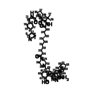 Cc1ncsc1-c1ccc([C@H](C)NC(=O)[C@@H]2CCCN2C(=O)[C@@H](NC(=O)CCCCCCCCCC(=O)N2CCN(CCOc3cccc(N4C5CCC4CN(c4cc(-c6ccccc6O)nnc4N)C5)c3)CC2)C(C)(C)C)cc1